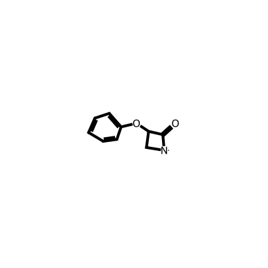 O=C1[N]CC1Oc1ccccc1